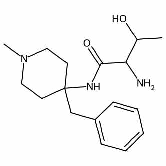 CC(O)C(N)C(=O)NC1(Cc2ccccc2)CCN(C)CC1